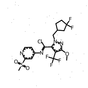 COc1nn(CC2CCC(F)(F)C2)c(/C(Cl)=N/c2ccnc(S(C)(=O)=O)c2)c1C(F)(F)F